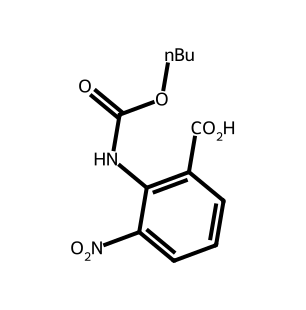 CCCCOC(=O)Nc1c(C(=O)O)cccc1[N+](=O)[O-]